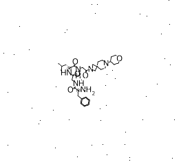 CC(C)C[C@@H](NC(=O)CNC(=O)[C@H](N)Cc1ccccc1)C(=O)NCC(=O)N1CC2(CCN(C3CCOCC3)CC2)C1